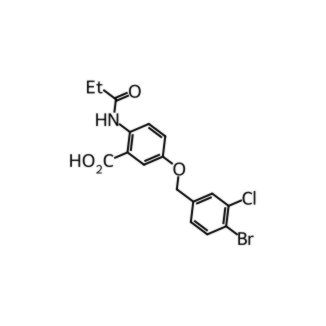 CCC(=O)Nc1ccc(OCc2ccc(Br)c(Cl)c2)cc1C(=O)O